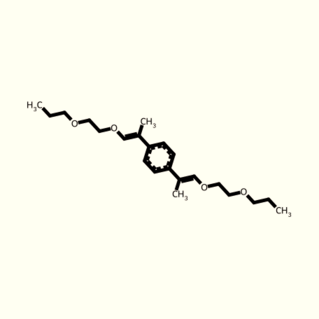 CCCOCCOC=C(C)c1ccc(C(C)=COCCOCCC)cc1